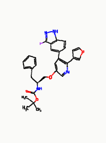 CC(C)(C)OC(=O)N[C@H](COc1cnc(-c2ccoc2)c(-c2ccc3[nH]nc(I)c3c2)c1)Cc1ccccc1